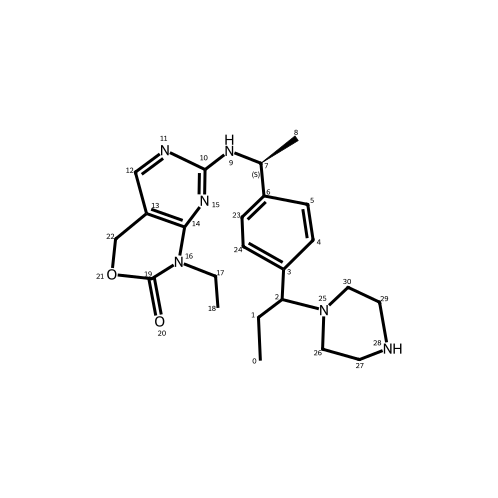 CCC(c1ccc([C@H](C)Nc2ncc3c(n2)N(CC)C(=O)OC3)cc1)N1CCNCC1